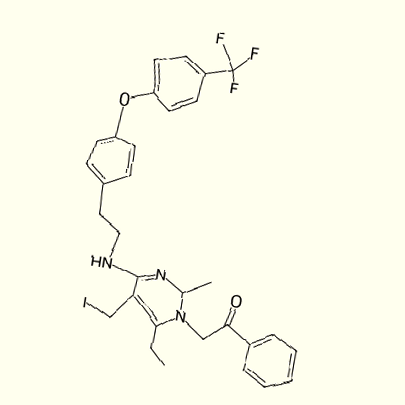 CCC1=C(CI)C(NCCc2ccc(Oc3ccc(C(F)(F)F)cc3)cc2)=NC(C)N1CC(=O)c1ccccc1